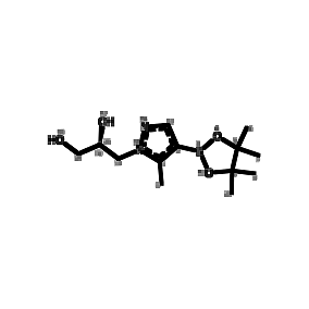 Cc1c(B2OC(C)(C)C(C)(C)O2)cnn1C[C@H](O)CO